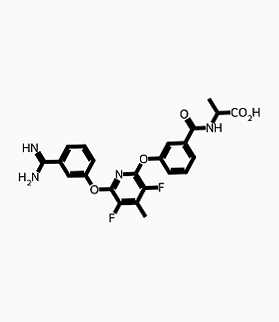 Cc1c(F)c(Oc2cccc(C(=N)N)c2)nc(Oc2cccc(C(=O)NC(C)C(=O)O)c2)c1F